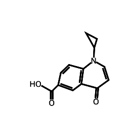 O=C(O)c1ccc2c(c1)c(=O)ccn2C1CC1